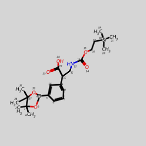 CC1(C)OB(c2cccc(C(CNC(=O)OCC[Si](C)(C)C)C(=O)O)c2)OC1(C)C